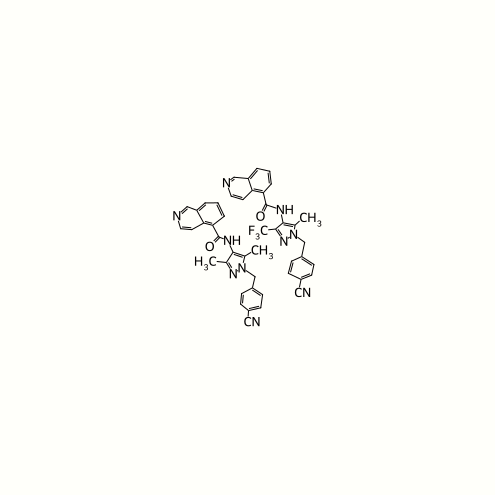 Cc1c(NC(=O)c2cccc3cnccc23)c(C(F)(F)F)nn1Cc1ccc(C#N)cc1.Cc1nn(Cc2ccc(C#N)cc2)c(C)c1NC(=O)c1cccc2cnccc12